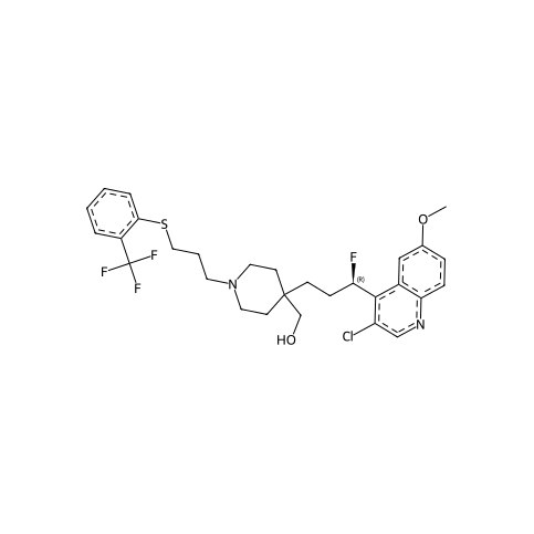 COc1ccc2ncc(Cl)c([C@H](F)CCC3(CO)CCN(CCCSc4ccccc4C(F)(F)F)CC3)c2c1